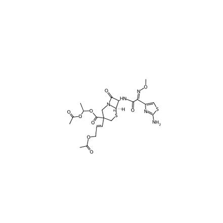 CON=C(C(=O)NC1C(=O)N2CC(C=CCOC(C)=O)(C(=O)OC(C)OC(C)=O)CS[C@H]12)c1csc(N)n1